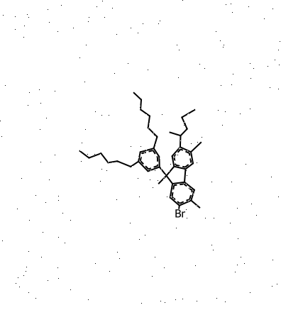 CCCCCCc1cc(CCCCCC)cc(C2(C)c3cc(Br)c(C)cc3-c3cc(C)c(C(C)CCC)cc32)c1